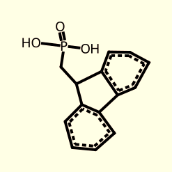 O=P(O)(O)CC1c2ccccc2-c2ccccc21